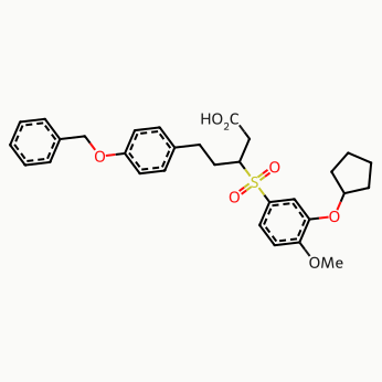 COc1ccc(S(=O)(=O)C(CCc2ccc(OCc3ccccc3)cc2)CC(=O)O)cc1OC1CCCC1